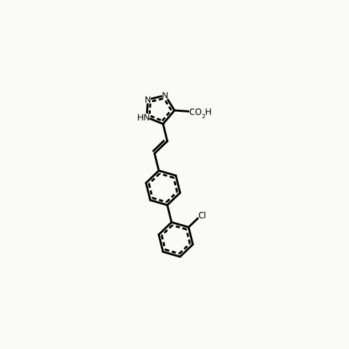 O=C(O)c1nn[nH]c1C=Cc1ccc(-c2ccccc2Cl)cc1